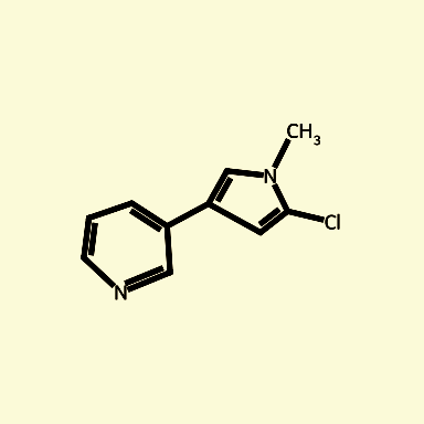 Cn1cc(-c2cccnc2)cc1Cl